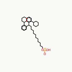 O=[PH](O)OCCCCCCCCCCCC(c1ccccc1C1CCCCC1)c1ccccc1C1CCCCC1